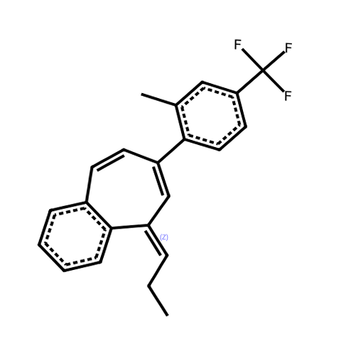 CC/C=C1/C=C(c2ccc(C(F)(F)F)cc2C)C=Cc2ccccc21